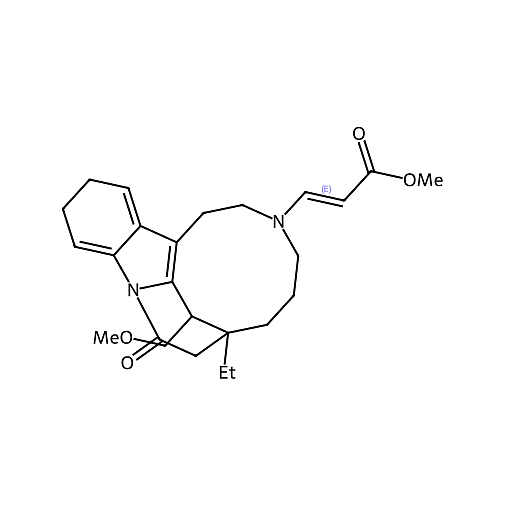 CCC12CCCN(/C=C/C(=O)OC)CCc3c(n(c4c3=CCCC=4)C(=O)C1)C2COC